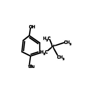 CC(C)(C)c1ccc(O)cc1.C[N+](C)(C)C